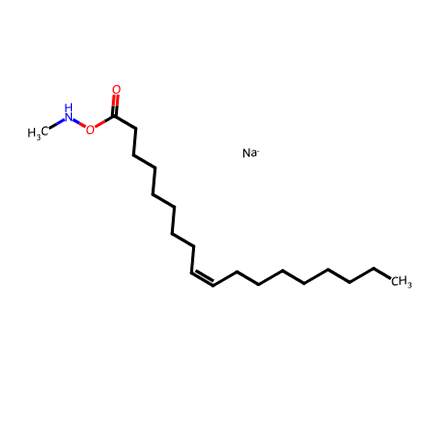 CCCCCCCC/C=C\CCCCCCCC(=O)ONC.[Na]